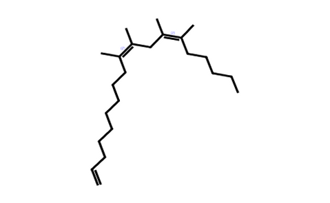 C=CCCCCCCC/C(C)=C(/C)C/C(C)=C(/C)CCCCC